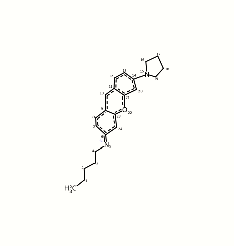 CCCCC/N=c1\ccc2cc3ccc(N4CCCC4)cc3oc-2c1